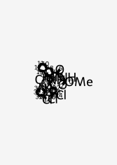 COC(=O)NNC(=O)c1cc2ccccc2c(Cl)c1NC(=O)c1cc(Cl)c(Cl)n1-c1ncccc1Cl